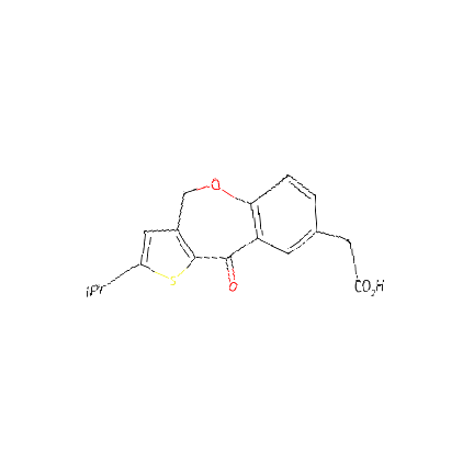 CC(C)c1cc2c(s1)C(=O)c1cc(CC(=O)O)ccc1OC2